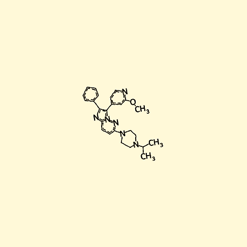 COc1cc(-c2c(-c3ccccc3)nc3ccc(N4CCN(C(C)C)CC4)nn23)ccn1